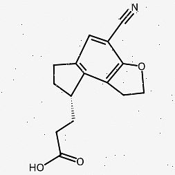 N#Cc1cc2c(c3c1OCC3)[C@H](CCC(=O)O)CC2